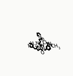 Cn1nc(Cl)c2cc(CNC(=O)C3CC(Cc4cccnc4)CN3C(=O)C(N)CCC(=O)N3CCCC3)ccc21